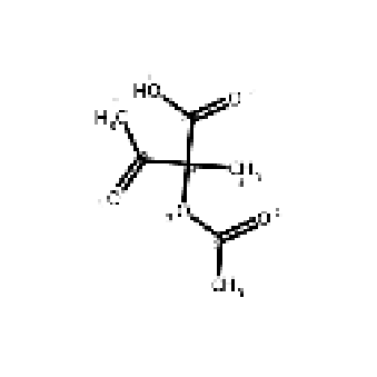 CC(=O)OC(C)(C(C)=O)C(=O)O